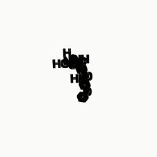 CC(NS(=O)(=O)N1CCN(C(=O)Nc2ccc(Oc3ccccc3)cc2)CC1)C(=O)NO